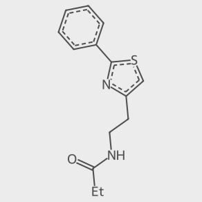 CCC(=O)NCCc1csc(-c2ccccc2)n1